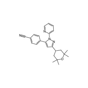 CC1(C)CC(c2cc(-c3ccc(C#N)cc3)n(-c3ccccn3)n2)CC(C)(C)O1